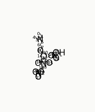 CCN(CC)CCCOc1ccc2c(c1)C(=O)N(CCO[N+](=O)[O-])C2=O.O=[N+]([O-])O